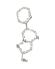 CC(C)(C)c1cc2ncc(-c3ccccc3)cn2n1